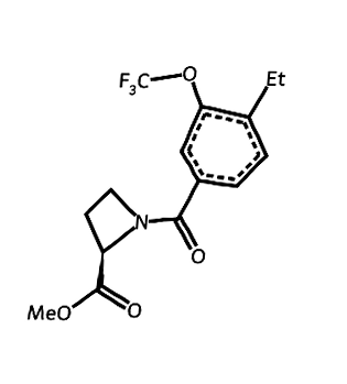 CCc1ccc(C(=O)N2CC[C@@H]2C(=O)OC)cc1OC(F)(F)F